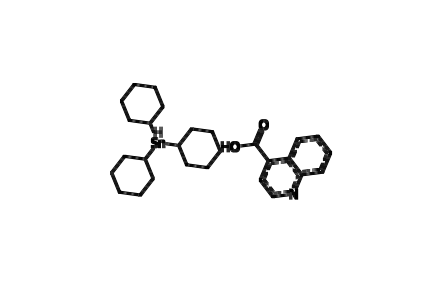 C1CC[CH]([SnH]([CH]2CCCCC2)[CH]2CCCCC2)CC1.O=C(O)c1ccnc2ccccc12